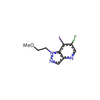 COCCn1ncc2ncc(F)c(I)c21